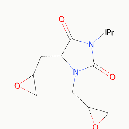 CC(C)N1C(=O)C(CC2CO2)N(CC2CO2)C1=O